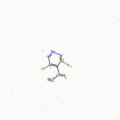 C[C](C)(C)[SnH2][c]1c(F)cncc1F